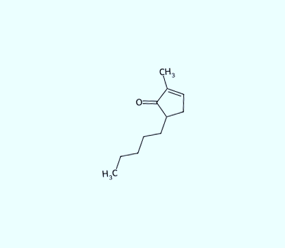 CCCCCC1CC=C(C)C1=O